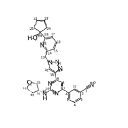 N#Cc1cccc(-c2cc(-c3cn(Cc4cccc(C5(O)CCCC5)n4)nn3)nc(N[C@@H]3CCOC3)n2)c1